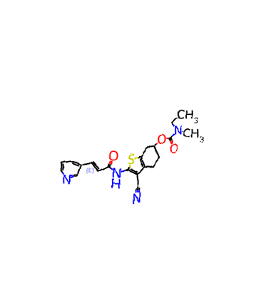 CCN(C)C(=O)OC1CCc2c(sc(NC(=O)/C=C/c3cccnc3)c2C#N)C1